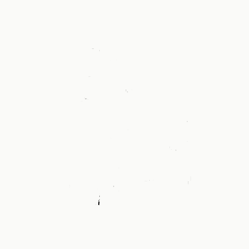 COC[C@H](C)Oc1cc(Oc2cnc(S(C)(=O)=O)cn2)cc(-c2cccn2C(=O)O)c1